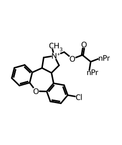 CCCC(CCC)C(=O)OC[N+]1(C)CC2c3ccccc3Oc3ccc(Cl)cc3C2C1